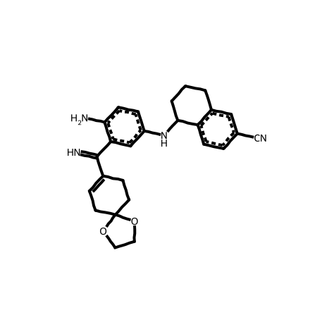 N#Cc1ccc2c(c1)CCCC2Nc1ccc(N)c(C(=N)C2=CCC3(CC2)OCCO3)c1